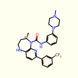 C[C@@H]1CCNc2ccc(-c3cccc(C(F)(F)F)c3)nc2N1C(=O)Nc1cccc(N2CCN(C)CC2)c1